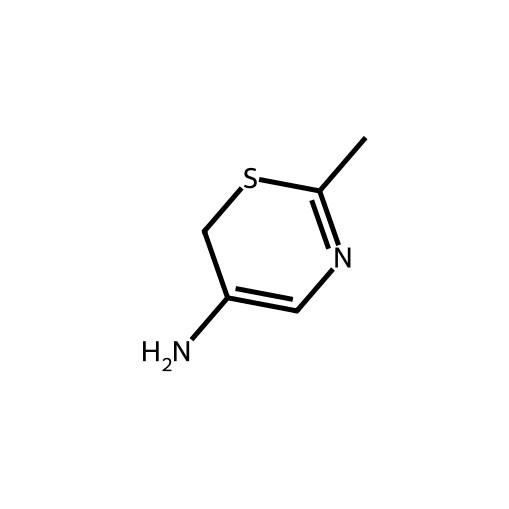 CC1=NC=C(N)CS1